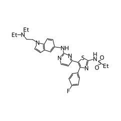 CCN(CC)CCn1ccc2cc(Nc3nccc(-c4sc(NS(=O)(=O)CC)nc4-c4ccc(F)cc4)n3)ccc21